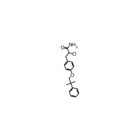 CC(C)(COc1ccc(CC(Cl)C(N)=O)cc1)c1ccccc1